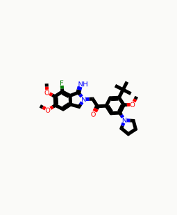 COc1cc2c(c(F)c1OC)C(=N)N(CC(=O)c1cc(N3CCCC3)c(OC)c(C(C)(C)C)c1)C2